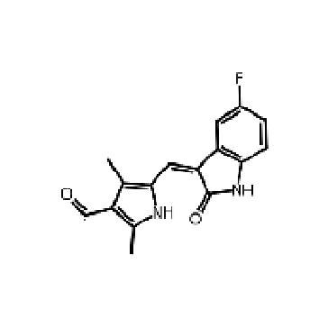 Cc1[nH]c(/C=C2\C(=O)Nc3ccc(F)cc32)c(C)c1[C]=O